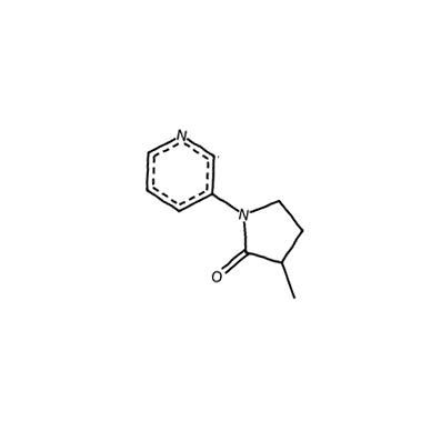 CC1CCN(c2[c]nccc2)C1=O